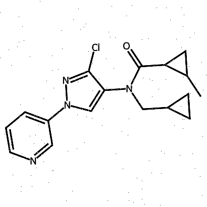 CC1CC1C(=O)N(CC1CC1)c1cn(-c2cccnc2)nc1Cl